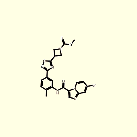 COC(=O)N1CC(c2nc(-c3ccc(C)c(NC(=O)c4cnc5cc(Br)ccn45)c3)no2)C1